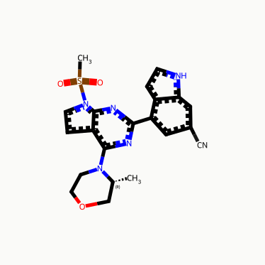 C[C@@H]1COCCN1c1nc(-c2cc(C#N)cc3[nH]ccc23)nc2c1ccn2S(C)(=O)=O